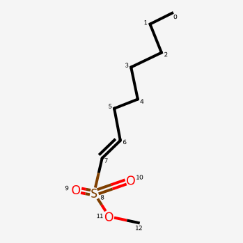 CCCCCC/C=C/S(=O)(=O)OC